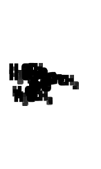 C=Cc1ccc(-n2c(=O)c3cc(S(C)(C)C)sc3c3sc(S(C)(C)C)cc3c2=O)cc1